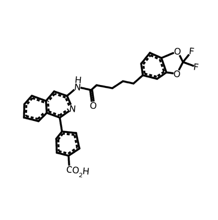 O=C(CCCCc1ccc2c(c1)OC(F)(F)O2)Nc1cc2ccccc2c(-c2ccc(C(=O)O)cc2)n1